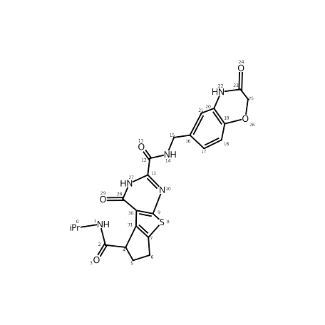 CC(C)NC(=O)C1CCc2sc3nc(C(=O)NCc4ccc5c(c4)NC(=O)CO5)[nH]c(=O)c3c21